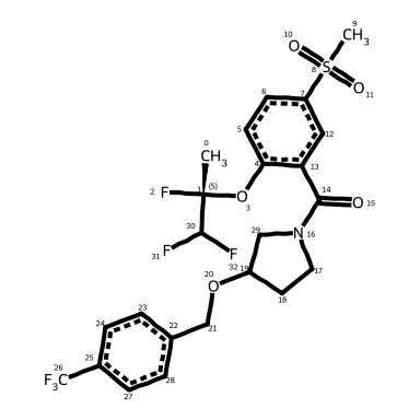 C[C@@](F)(Oc1ccc(S(C)(=O)=O)cc1C(=O)N1CCC(OCc2ccc(C(F)(F)F)cc2)C1)C(F)F